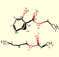 C=CC(=O)OCCCC.CCOC(=O)c1ccccc1O